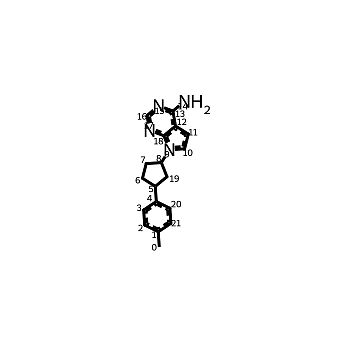 Cc1ccc(C2CCC(n3ccc4c(N)ncnc43)C2)cc1